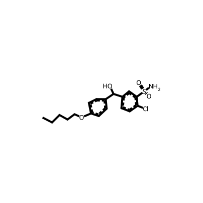 CCCCCOc1ccc(C(O)c2ccc(Cl)c(S(N)(=O)=O)c2)cc1